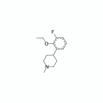 CCOc1c(F)cccc1C1CCN(C)CC1